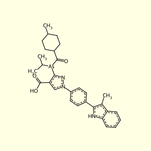 Cc1c(-c2ccc(-n3cc(C(=O)O)c([As](C(=O)C4CCC(C)CC4)C(C)C)n3)cc2)[nH]c2ccccc12